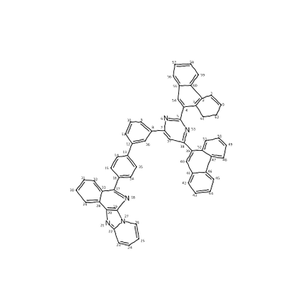 C1=Cc2c(c(-c3nc(-c4cccc(-c5ccc(-c6nc7c(nc8ccccn87)c7ccccc67)cc5)c4)cc(-c4cc5ccccc5c5ccccc45)n3)cc3ccccc23)CC1